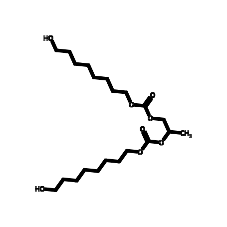 CC(COC(=O)OCCCCCCCCO)OC(=O)OCCCCCCCCO